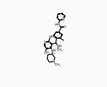 CNC(c1ccc(C(=O)Nc2ccccn2)cc1F)c1c(N)ncc(C)c1N[C@@H]1CCCN(C)C1